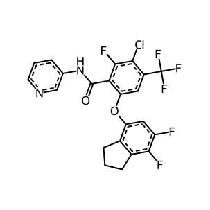 O=C(Nc1cccnc1)c1c(Oc2cc(F)c(F)c3c2CCC3)cc(C(F)(F)F)c(Cl)c1F